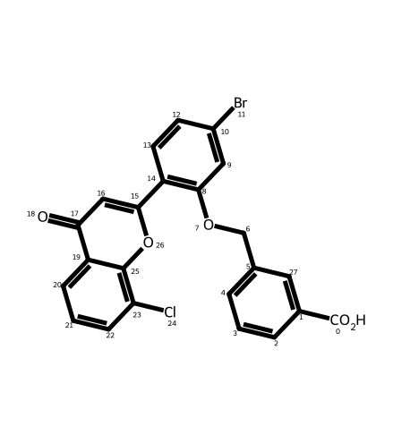 O=C(O)c1cccc(COc2cc(Br)ccc2-c2cc(=O)c3cccc(Cl)c3o2)c1